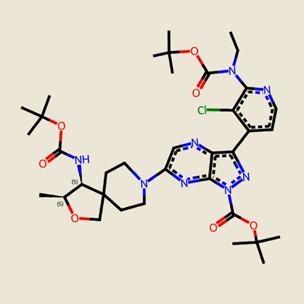 CCN(C(=O)OC(C)(C)C)c1nccc(-c2nn(C(=O)OC(C)(C)C)c3nc(N4CCC5(CC4)CO[C@@H](C)[C@H]5NC(=O)OC(C)(C)C)cnc23)c1Cl